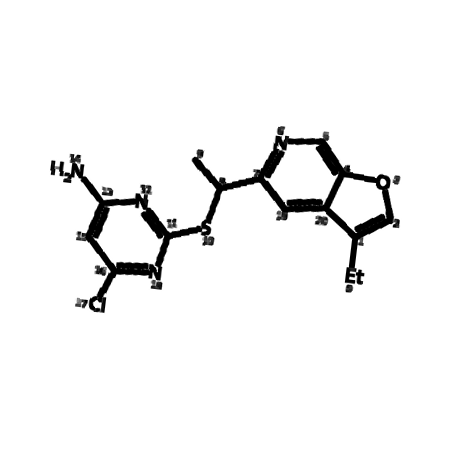 CCc1coc2cnc(C(C)Sc3nc(N)cc(Cl)n3)cc12